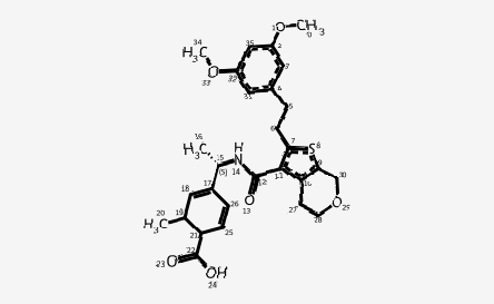 COc1cc(CCc2sc3c(c2C(=O)N[C@@H](C)C2=CC(C)C(C(=O)O)C=C2)CCOC3)cc(OC)c1